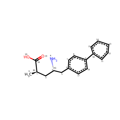 C[C@H](C[C@H](N)Cc1ccc(-c2ccccc2)cc1)C(=O)O